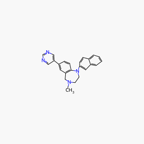 CN1CCN(c2ccc3ccccc3c2)c2ccc(-c3cncnc3)cc2C1